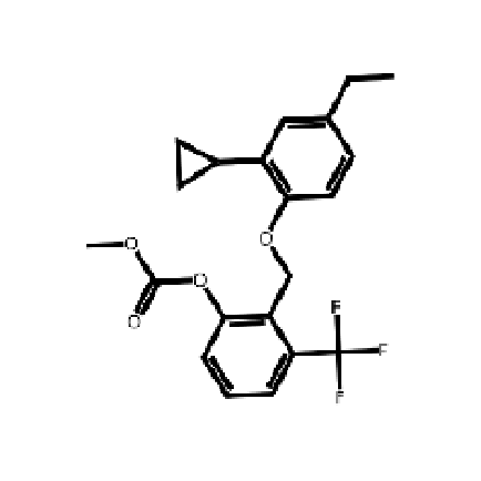 CCc1ccc(OCc2c(OC(=O)OC)cccc2C(F)(F)F)c(C2CC2)c1